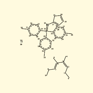 CCC=C(C)C(C)=CCC.Cc1ccc(P(=NC2=CC=CC2)(c2ccc(C)cc2)c2ccc(C)cc2)cc1.[Ti]